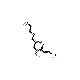 [CH2]CCOCC(O)CN(C)C(=O)C=CC